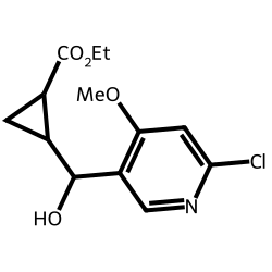 CCOC(=O)C1CC1C(O)c1cnc(Cl)cc1OC